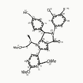 COC[C@@H](C)n1c(-c2cnc(OC)nc2OC)cc2c1[C@@H](c1ccc(C#N)cc1)N(c1ccc(F)c(Cl)c1)C2=O